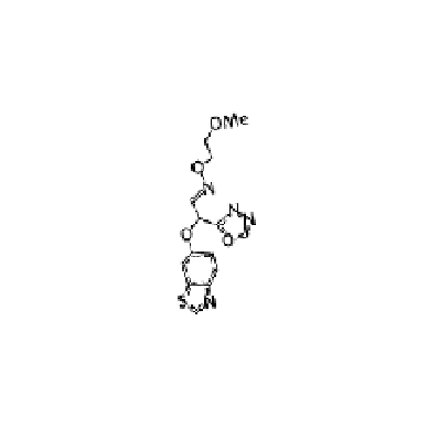 COCCON=CC(Oc1ccc2ncsc2c1)c1nnco1